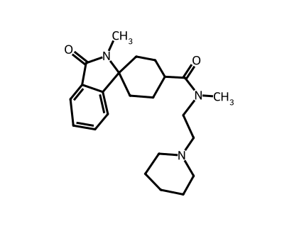 CN(CCN1CCCCC1)C(=O)C1CCC2(CC1)c1ccccc1C(=O)N2C